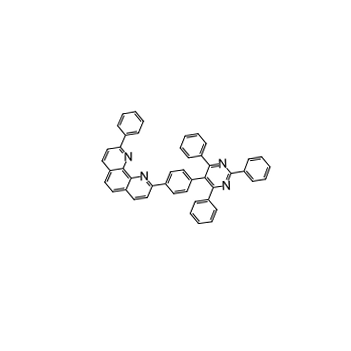 c1ccc(-c2ccc3ccc4ccc(-c5ccc(-c6c(-c7ccccc7)nc(-c7ccccc7)nc6-c6ccccc6)cc5)nc4c3n2)cc1